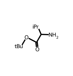 CC(C)C(N)C(=O)OC(C)(C)C